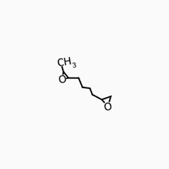 CC1OC1CCCCC1CO1